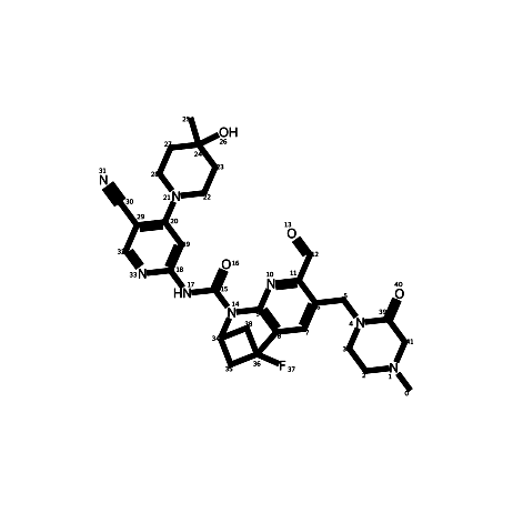 CN1CCN(Cc2cc3c(nc2C=O)N(C(=O)Nc2cc(N4CCC(C)(O)CC4)c(C#N)cn2)C2CC3(F)C2)C(=O)C1